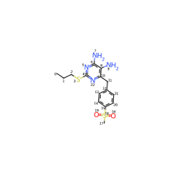 CCCSc1nc(N)c(N)c(Cc2ccc(S(C)(=O)=O)cc2)n1